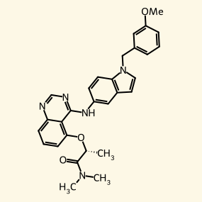 COc1cccc(Cn2ccc3cc(Nc4ncnc5cccc(O[C@H](C)C(=O)N(C)C)c45)ccc32)c1